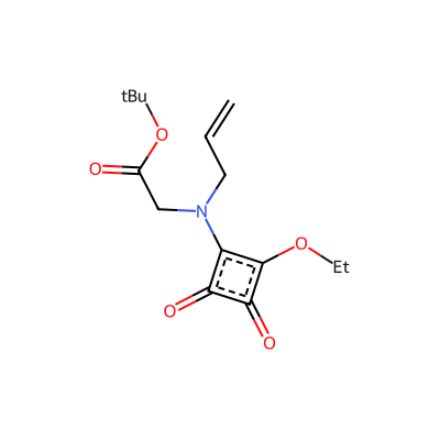 C=CCN(CC(=O)OC(C)(C)C)c1c(OCC)c(=O)c1=O